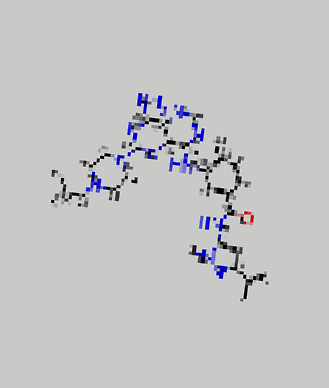 C=C(C)c1cc(NC(=O)c2ccc(C)c(Nc3ncnc4c(N)nc(N5CCN(CC(C)C)CC5)nc34)c2)n(C)n1